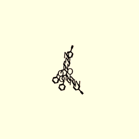 C#Cc1ccc(N2CCN(C(COCc3ccccc3)C(=O)C(COCc3ccccc3)N3CCN(c4ccc(C#C)cn4)CC3)CC2)nc1